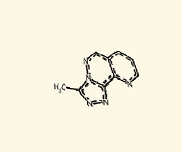 Cc1nnc2c3ncccc3cnn12